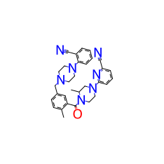 Cc1ccc(CN2CCN(c3ccccc3C#N)CC2)cc1C(=O)N1CCN(c2cccc(C#N)n2)CC1C